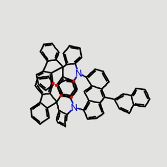 c1ccc2c(c1)-c1ccccc1C21c2ccccc2N(c2cccc3c(-c4ccc5ccccc5c4)c4cccc(N5c6ccccc6C6(c7ccccc7-c7ccccc76)c6ccccc65)c4cc23)c2ccccc21